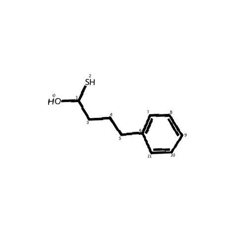 OC(S)CCCc1cc[c]cc1